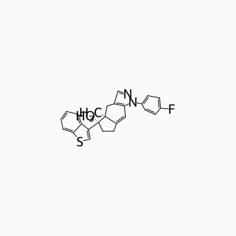 C[C@]12Cc3cnn(-c4ccc(F)cc4)c3C=C1CC[C@@]2(O)c1csc2ccccc12